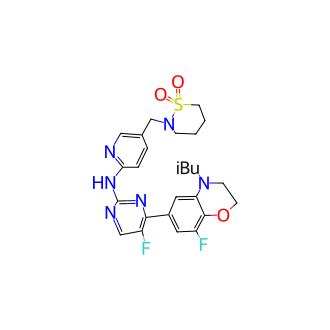 CCC(C)N1CCOc2c(F)cc(-c3nc(Nc4ccc(CN5CCCCS5(=O)=O)cn4)ncc3F)cc21